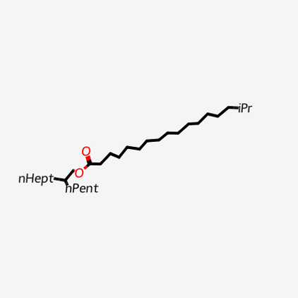 CCCCCCCC(CCCCC)COC(=O)CCCCCCCCCCCCCCC(C)C